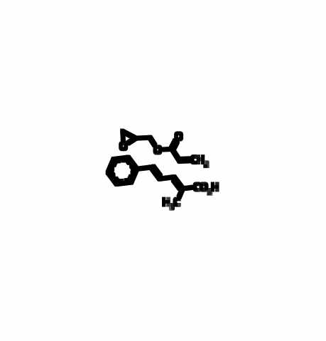 C=CC(=O)OCC1CO1.CC(=CC=Cc1ccccc1)C(=O)O